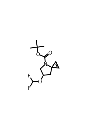 CC(C)(C)OC(=O)N1CC(OC(F)F)CC12C=C2